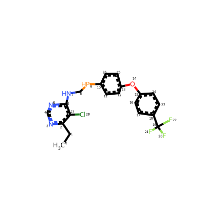 CCc1ncnc(NCPc2ccc(Oc3ccc(C(F)(F)F)cc3)cc2)c1Cl